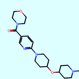 CC(C)N1CCC(OC2CCN(c3ccc(C(=O)N4CCOCC4)cn3)CC2)CC1